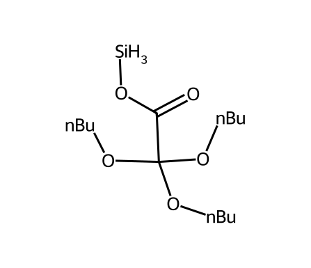 CCCCOC(OCCCC)(OCCCC)C(=O)O[SiH3]